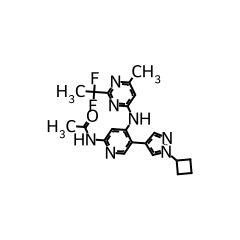 CC(=O)Nc1cc(Nc2cc(C)nc(C(C)(F)F)n2)c(-c2cnn(C3CCC3)c2)cn1